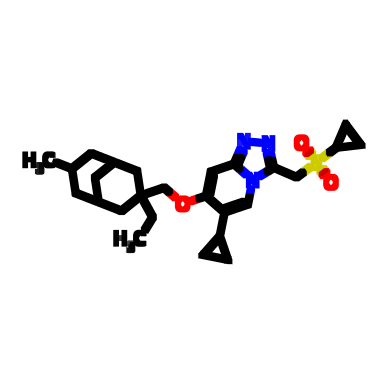 CCC1(COc2cc3nnc(CS(=O)(=O)C4CC4)n3cc2C2CC2)CC2CC(C)CC(C2)C1